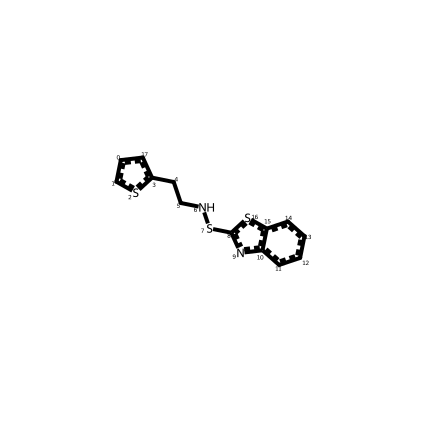 c1csc(CCNSc2nc3ccccc3s2)c1